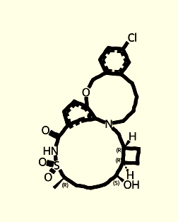 C[C@@H]1CCC[C@H](O)[C@@H]2CC[C@H]2CN2CCCCc3cc(Cl)ccc3COc3ccc(cc32)C(=O)NS1(=O)=O